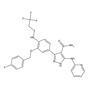 NC(=O)c1c(-c2ccc(NSCC(F)(F)F)c(OCc3ccc(F)cc3)c2)n[nH]c1Nc1ccccn1